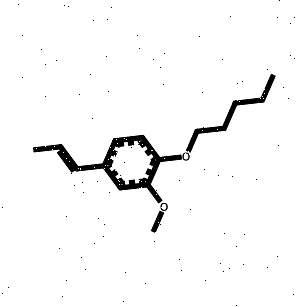 CC=Cc1ccc(OCCCCC)c(OC)c1